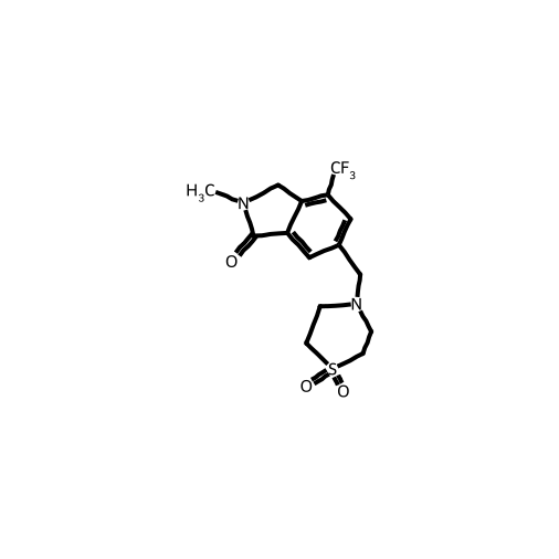 CN1Cc2c(cc(CN3CCS(=O)(=O)CC3)cc2C(F)(F)F)C1=O